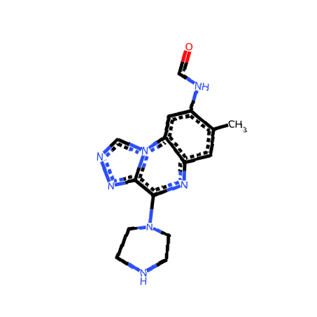 Cc1cc2nc(N3CCNCC3)c3nncn3c2cc1NC=O